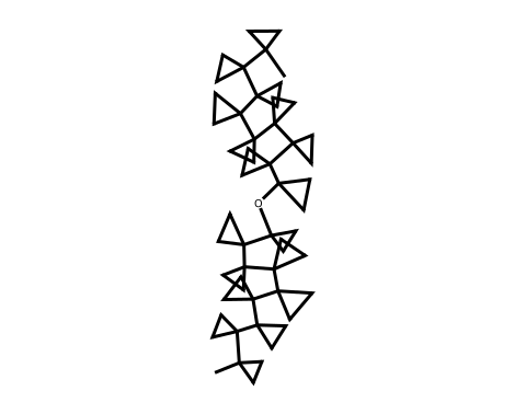 CC1(C2(C3(C4(C5(C6(C7(C8(C9(OC%10(C%11(C%12(C%13(C%14(C%15(C%16(C%17(C%18(C)CC%18)CC%17)CC%16)CC%15)CC%14)CC%13)CC%12)CC%11)CC%10)CC9)CC8)CC7)CC6)CC5)CC4)CC3)CC2)CC1